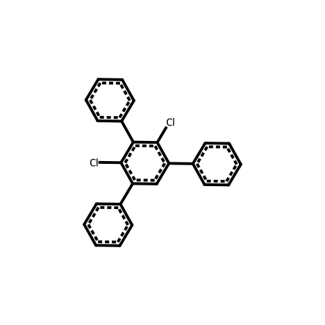 Clc1c(-c2ccccc2)cc(-c2ccccc2)c(Cl)c1-c1ccccc1